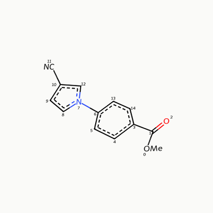 COC(=O)c1ccc(-n2ccc(C#N)c2)cc1